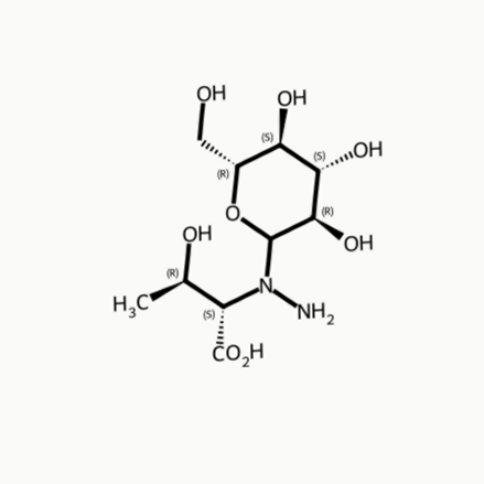 C[C@@H](O)[C@@H](C(=O)O)N(N)C1O[C@H](CO)[C@@H](O)[C@H](O)[C@H]1O